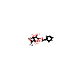 CC(=O)C(=O)C(O)(C(C)=O)C(O)(C(C)=O)C(O)C(O)OCc1ccccc1